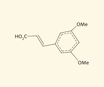 COc1cc(/C=C/C(=O)O)cc(OC)c1